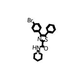 O=C(NN1CCCCC1)c1nc(-c2ccc(Br)cc2)c(-c2ccccc2)s1